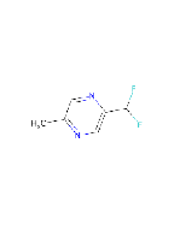 Cc1cnc(C(F)F)cn1